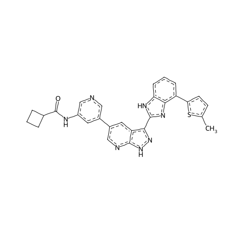 Cc1ccc(-c2cccc3[nH]c(-c4n[nH]c5ncc(-c6cncc(NC(=O)C7CCC7)c6)cc45)nc23)s1